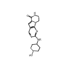 O=C1NCCn2c1cc1cnc(NC3CCC(O)CC3)nc12